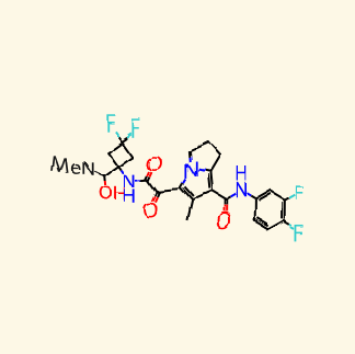 CNC(O)C1(NC(=O)C(=O)c2c(C)c(C(=O)Nc3ccc(F)c(F)c3)c3n2CCC3)CC(F)(F)C1